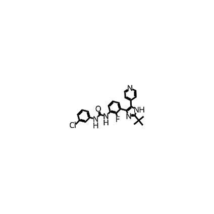 CC(C)(C)c1nc(-c2cccc(NC(=O)Nc3cccc(Cl)c3)c2F)c(-c2ccncc2)[nH]1